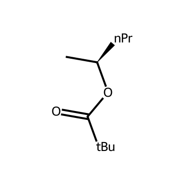 CCC[C@H](C)OC(=O)C(C)(C)C